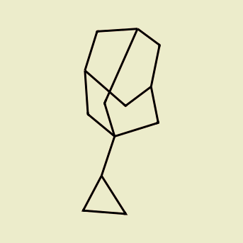 C1C2CC3CC1CC(C1CC1)(C2)C3